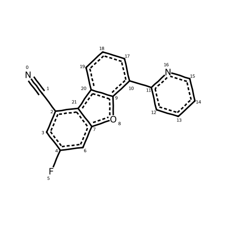 N#Cc1cc(F)cc2oc3c(-c4ccccn4)cccc3c12